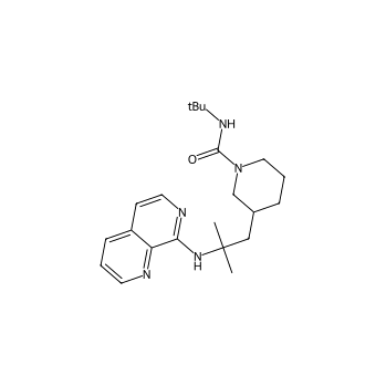 CC(C)(C)NC(=O)N1CCCC(CC(C)(C)Nc2nccc3cccnc23)C1